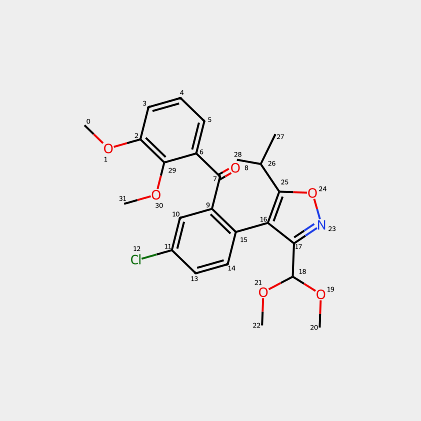 COc1cccc(C(=O)c2cc(Cl)ccc2-c2c(C(OC)OC)noc2C(C)C)c1OC